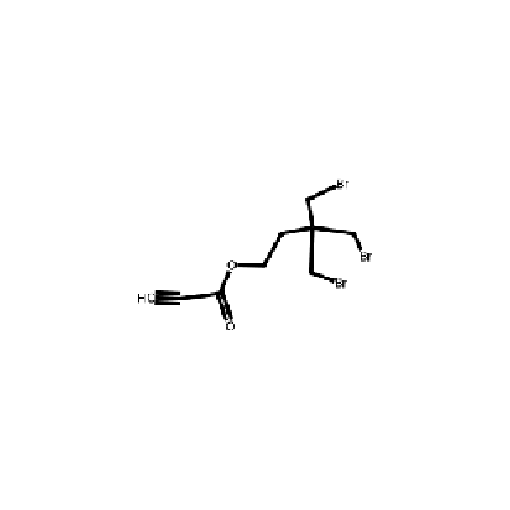 C#CC(=O)OCCC(CBr)(CBr)CBr